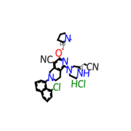 CN1CCC[C@H]1COc1nc(N2CCN[C@@H](CC#N)C2)c2c(c1C#N)CN(c1cccc3cccc(Cl)c13)CC2.Cl